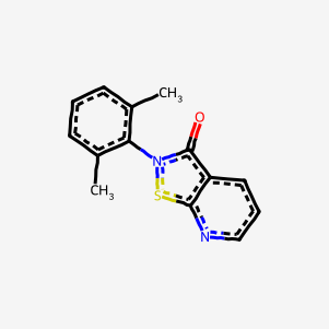 Cc1cccc(C)c1-n1sc2ncccc2c1=O